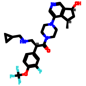 C[C@@H]1C[C@H](O)c2cncc(N3CCN(C(=O)[C@H](CNCC4CC4)c4ccc(OC(F)(F)F)c(F)c4)CC3)c21